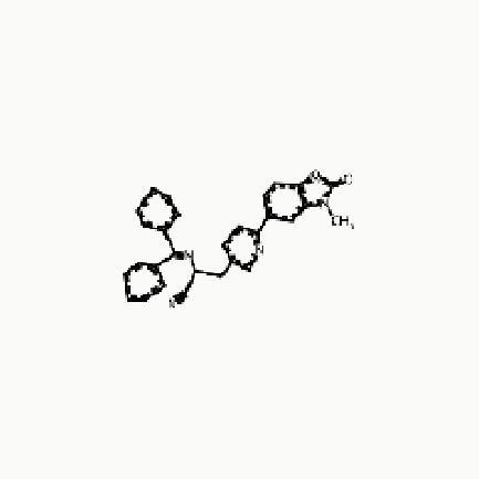 Cn1c(=O)oc2ccc(-c3ccc(CC(C#N)N=C(c4ccccc4)c4ccccc4)cn3)cc21